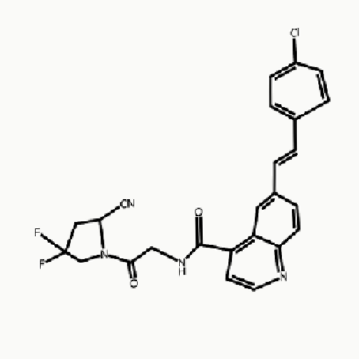 N#CC1CC(F)(F)CN1C(=O)CNC(=O)c1ccnc2ccc(C=Cc3ccc(Cl)cc3)cc12